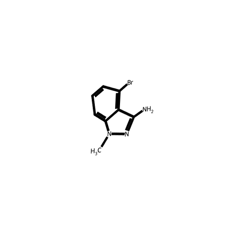 Cn1nc(N)c2c(Br)cccc21